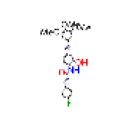 COc1cc(/C=C/c2ccc(NC(=O)/C=C/c3ccc(F)cc3)c(O)c2)cc(OC)c1OC